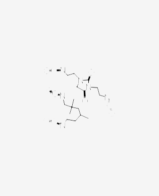 CC(CCN=C=O)CC(C)(C)CN=C=O.O=C=NCCN1CC(=O)N(CCN=C=O)C1=O